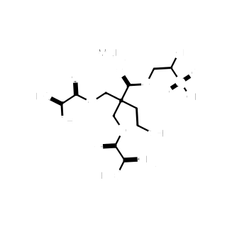 C=C(C)C(=O)OCC(CCC)(COC(=O)C(=C)C)C(=O)OCC(C)S(=O)(=O)O.[MgH2]